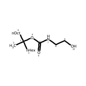 CCCCCCCCC(C)(CCCCCC)OC(=O)NCCO